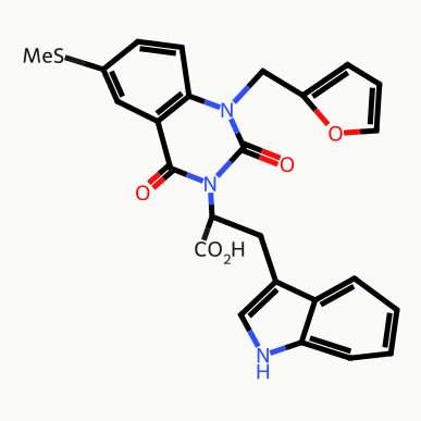 CSc1ccc2c(c1)c(=O)n(C(Cc1c[nH]c3ccccc13)C(=O)O)c(=O)n2Cc1ccco1